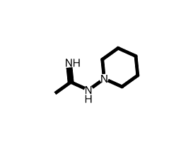 CC(=N)NN1CCCCC1